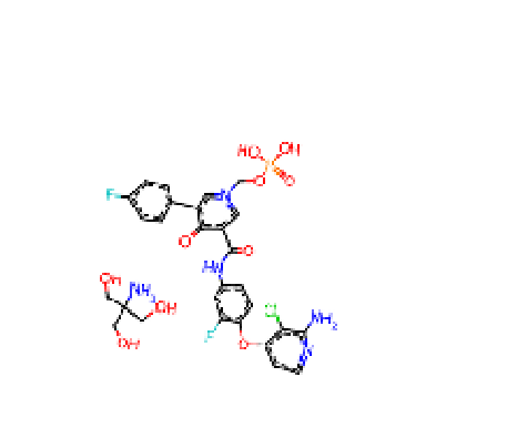 NC(CO)(CO)CO.Nc1nccc(Oc2ccc(NC(=O)c3cn(COP(=O)(O)O)cc(-c4ccc(F)cc4)c3=O)cc2F)c1Cl